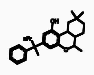 CCCC(C)(c1ccccc1)c1cc(O)c2c(c1)OC(C)C1CCC(C)(C)CC21